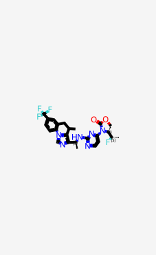 CC1Cc2cc(C(F)(F)F)ccc2-n2cnc([C@H](C)Nc3nccc(N4C(=O)OC[C@@H]4[C@H](C)F)n3)c21